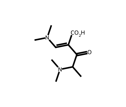 CC(C(=O)/C(=C/N(C)C)C(=O)O)N(C)C